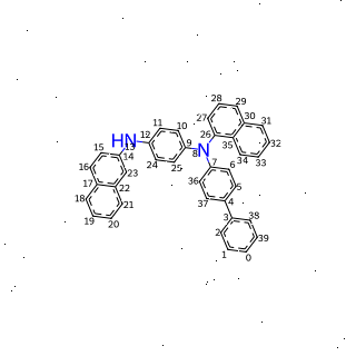 c1ccc(-c2ccc(N(c3ccc(Nc4ccc5ccccc5c4)cc3)c3cccc4ccccc34)cc2)cc1